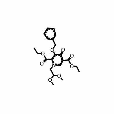 CCOC(=O)c1cn(CC(OC)OC)c(C(=O)OCC)c(OCc2ccccc2)c1=O